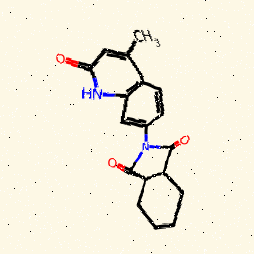 Cc1cc(=O)[nH]c2cc(N3C(=O)C4CCCCC4C3=O)ccc12